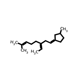 CC=C(CC=C1CCC(C)C1)CCC=C(C)C